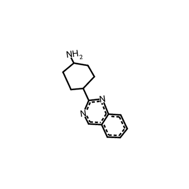 NC1CCC(c2ncc3ccccc3n2)CC1